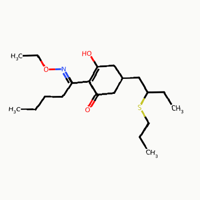 CCCC/C(=N\OCC)C1=C(O)CC(CC(CC)SCCC)CC1=O